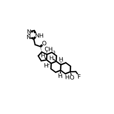 C[C@]12CC[C@H]3[C@@H](CC[C@H]4C[C@@](O)(CF)CC[C@@H]43)[C@@H]1CC[C@@H]2C(=O)Cc1nnc[nH]1